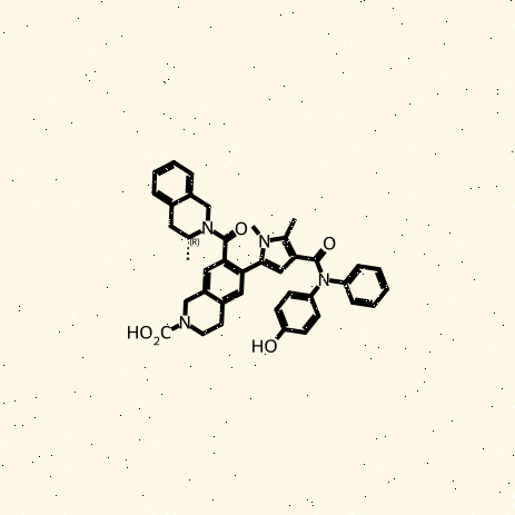 Cc1c(C(=O)N(c2ccccc2)c2ccc(O)cc2)cc(-c2cc3c(cc2C(=O)N2Cc4ccccc4C[C@H]2C)CN(C(=O)O)CC3)n1C